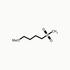 COC[CH]CCS(C)(=O)=O